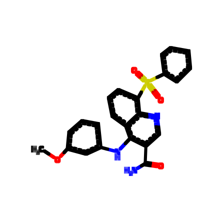 COc1cccc(Nc2c(C(N)=O)cnc3c(S(=O)(=O)c4ccccc4)cccc23)c1